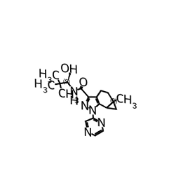 CC(C)(C)[C@@H](CO)NC(=O)c1nn(-c2cnccn2)c2c1CC[C@]1(C)CC21